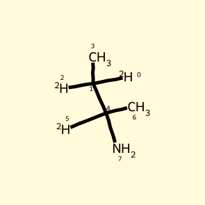 [2H]C([2H])(C)C([2H])(C)N